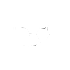 C=CCC1CN(C)CCC1CC